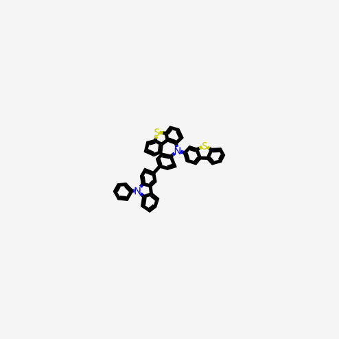 c1ccc(-n2c3ccccc3c3cc(-c4ccc(N(c5ccc6c(c5)sc5ccccc56)c5cccc6sc7ccccc7c56)cc4)ccc32)cc1